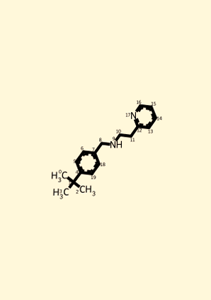 CC(C)(C)c1ccc(CNCCc2ccccn2)cc1